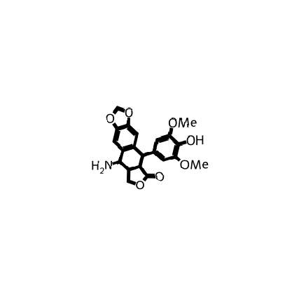 COc1cc(C2c3cc4c(cc3C(N)C3COC(=O)C23)OCO4)cc(OC)c1O